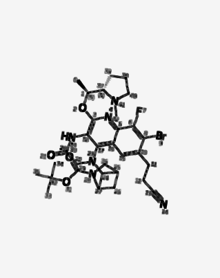 C[C@H](Oc1nc2c(F)c(Br)c(CCC#N)cc2c2c1NC(=O)CN2C1C2CC1N(C(=O)OC(C)(C)C)C2)[C@@H]1CCCN1C